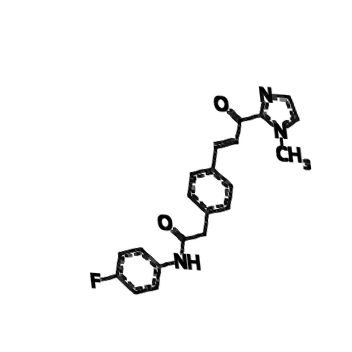 Cn1ccnc1C(=O)C=Cc1ccc(CC(=O)Nc2ccc(F)cc2)cc1